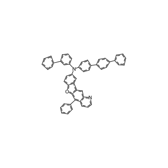 c1ccc(-c2ccc(-c3ccc(N(c4cccc(-c5ccccc5)c4)c4ccc5oc6c(-c7ccccc7)c7cccnc7cc6c5c4)cc3)cc2)cc1